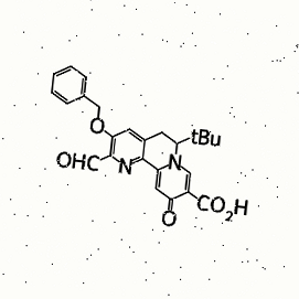 CC(C)(C)C1Cc2cc(OCc3ccccc3)c(C=O)nc2-c2cc(=O)c(C(=O)O)cn21